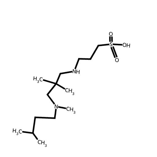 CC(C)CCN(C)CC(C)(C)CNCCCS(=O)(=O)O